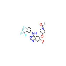 C=CC(=O)N1CCC(Oc2cc3c(Nc4ccc(F)c(C(F)(F)F)c4)ncnc3cc2OC)CC1